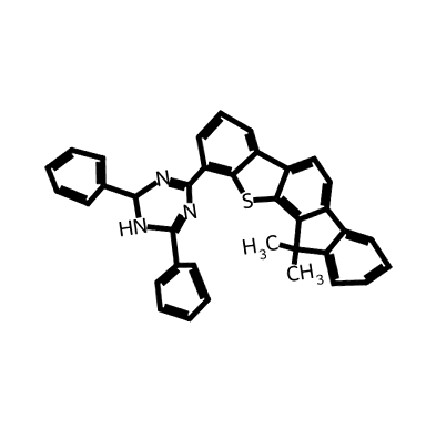 CC1(C)c2ccccc2-c2ccc3c(sc4c(C5=NC(c6ccccc6)NC(c6ccccc6)=N5)cccc43)c21